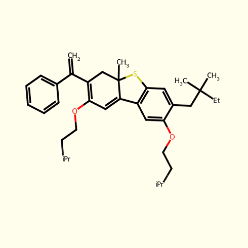 C=C(C1=C(OCCC(C)C)C=C2c3cc(OCCC(C)C)c(CC(C)(C)CC)cc3SC2(C)C1)c1ccccc1